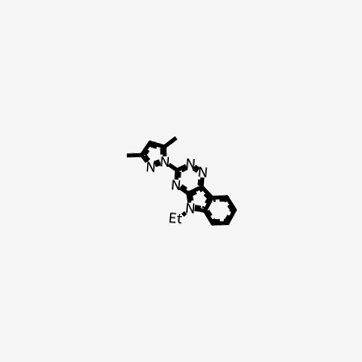 CCn1c2ccccc2c2nnc(-n3nc(C)cc3C)nc21